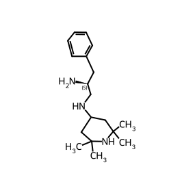 CC1(C)CC(NC[C@@H](N)Cc2ccccc2)CC(C)(C)N1